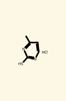 Cc1ccnc(S)n1.Cl